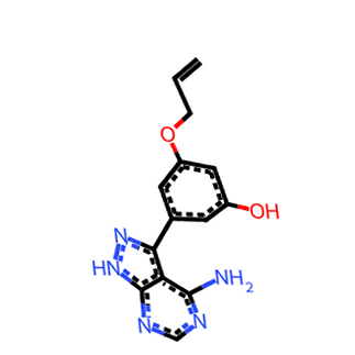 C=CCOc1cc(O)cc(-c2n[nH]c3ncnc(N)c23)c1